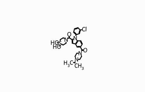 CC(C)N1CCN(C(=O)c2ccc3c(c2)cc(C(=O)N2CCS(O)(O)CC2)n3-c2cccc(Cl)c2)CC1